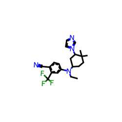 CCN(c1ccc(C#N)c(C(F)(F)F)c1)C1CCC(C)(C)C(n2ccnc2)C1